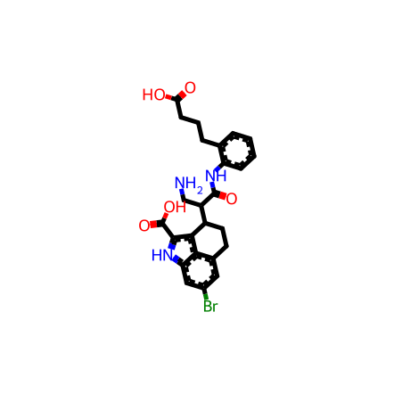 NCC(C(=O)Nc1ccccc1CCCC(=O)O)C1CCc2cc(Br)cc3[nH]c(C(=O)O)c1c23